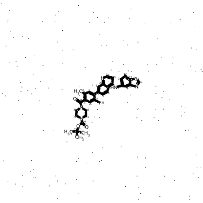 Cc1cc(-c2ccc3c(Nc4ccc5scnc5c4)ccnc3c2)c(F)cc1C(=O)N1CCN(C(=O)OC(C)(C)C)CC1